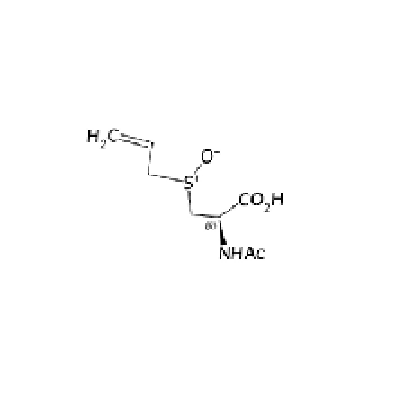 C=CC[S+]([O-])C[C@H](NC(C)=O)C(=O)O